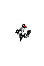 Cc1ccc(-c2cnc(O[C@H]3CN4CCC3CC4)nc2)cc1C.Cc1ccc(F)c(-c2cnc(OC3CN4CCC3CC4)nc2)c1